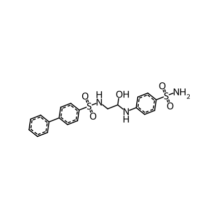 NS(=O)(=O)c1ccc(NC(O)CNS(=O)(=O)c2ccc(-c3ccccc3)cc2)cc1